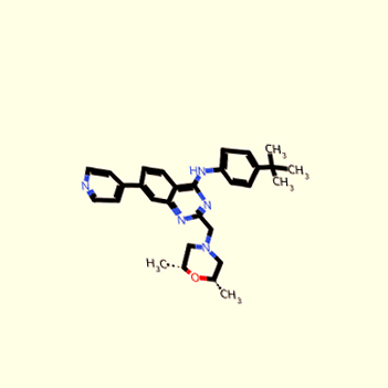 C[C@@H]1CN(Cc2nc(Nc3ccc(C(C)(C)C)cc3)c3ccc(-c4ccncc4)cc3n2)C[C@H](C)O1